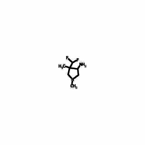 CN1CC(N)C(C)(C(F)F)C1